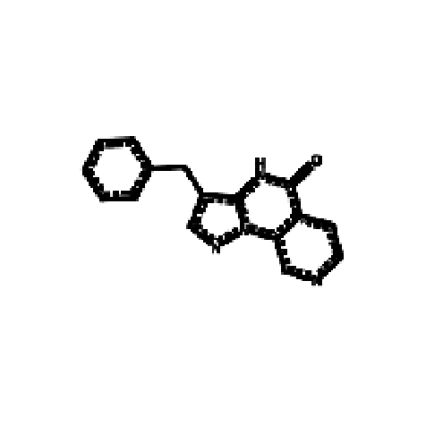 O=c1[nH]c2c(Cc3ccccc3)cnn2c2cnccc12